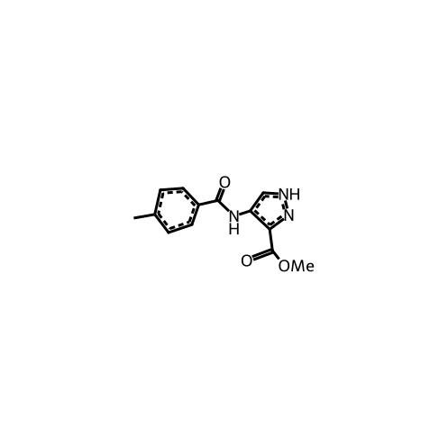 COC(=O)c1n[nH]cc1NC(=O)c1ccc(C)cc1